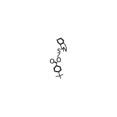 CC(C)(C)c1ccc(C(=O)OCCSC2=NCc3ccccc32)cc1